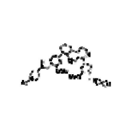 COc1cc(-c2nccc(-c3cccc(-c4ccc(CNC5CCN(C(C)=O)CC5)c(OC)n4)c3Cl)c2Cl)ccc1CN1CC2(COC2)C1